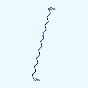 CCCCCCCCCCCCCCCCCCCC=NCCCCCCCCCCCCCCC